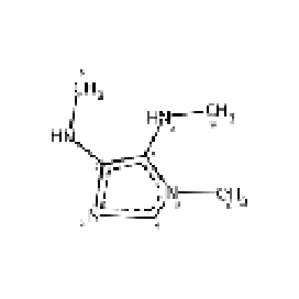 CNc1ncn(C)c1NC